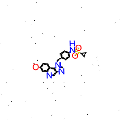 COc1ccc2c(c1)ncc1ncn(Cc3ccc(NS(=O)(=O)C4CC4)cc3)c12